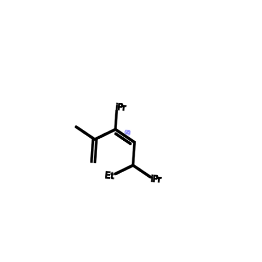 C=C(C)/C(=C\C(CC)C(C)C)C(C)C